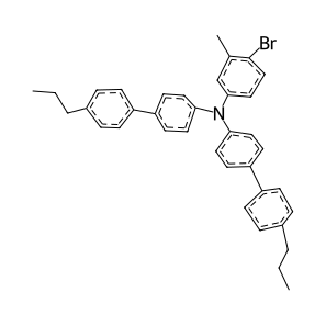 CCCc1ccc(-c2ccc(N(c3ccc(-c4ccc(CCC)cc4)cc3)c3ccc(Br)c(C)c3)cc2)cc1